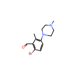 Cc1c(N2CCN(C)CC2)ccc(Br)c1C=O